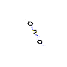 CCCCCCCCc1ccc(N=Nc2cc3sc(N=Nc4ccc(N)cc4)nc3s2)cc1